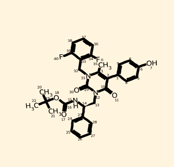 Cc1c(-c2ccc(O)cc2)c(=O)n(C[C@H](NC(=O)OC(C)(C)C)c2ccccc2)c(=O)n1Cc1c(F)cccc1F